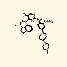 CCC(=O)N1CCc2cccc(Nc3nc(Nc4ccc(N5CCC(N6CCN(C)CC6)CC5)cc4OC)ncc3Cl)c21